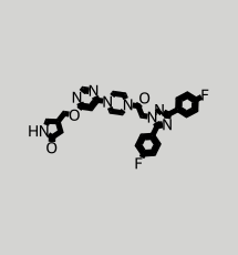 O=C1CC(COc2cc(N3CCN(C(=O)Cn4nc(-c5ccc(F)cc5)nc4-c4ccc(F)cc4)CC3)ncn2)CN1